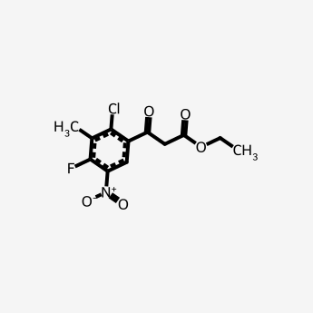 CCOC(=O)CC(=O)c1cc([N+](=O)[O-])c(F)c(C)c1Cl